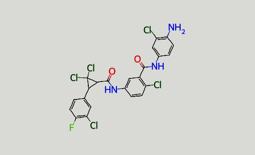 Nc1ccc(NC(=O)c2cc(NC(=O)C3C(c4ccc(F)c(Cl)c4)C3(Cl)Cl)ccc2Cl)cc1Cl